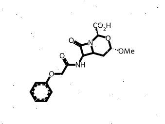 CO[C@@H]1CC2C(NC(=O)COc3ccccc3)C(=O)N2[C@@H](C(=O)O)O1